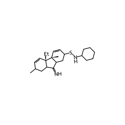 CC[C@]12C=CC(C)CC1C(=N)C1CC(SNC3CCCCC3)C=C[C@]12C